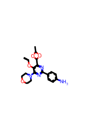 CCOc1c(C2OC(C)O2)nc(-c2ccc(N)cc2)nc1N1CCOCC1